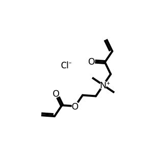 C=CC(=O)C[N+](C)(C)CCOC(=O)C=C.[Cl-]